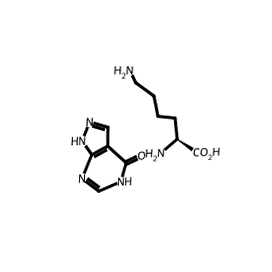 NCCCC[C@H](N)C(=O)O.O=c1[nH]cnc2[nH]ncc12